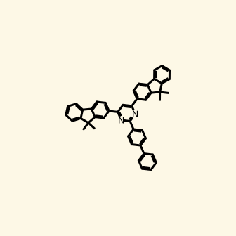 CC1(C)c2ccccc2-c2ccc(-c3cc(-c4ccc5c(c4)C(C)(C)c4ccccc4-5)nc(-c4ccc(-c5ccccc5)cc4)n3)cc21